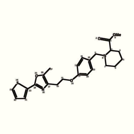 COC(=O)C1CCCCN1Cc1ccc(OCCc2nc(-c3cccs3)oc2C)cc1